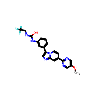 COc1cnc(-c2ccn3c(-c4cccc(NC(O)NCC(F)(F)F)c4)cnc3c2)nc1